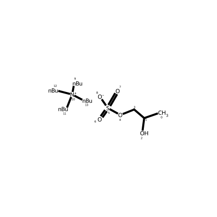 CC(O)COS(=O)(=O)[O-].CCCC[N+](CCCC)(CCCC)CCCC